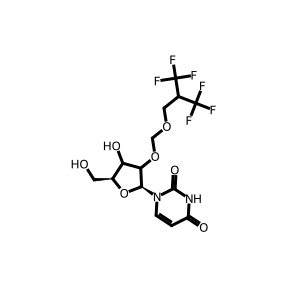 O=c1ccn([C@H]2O[C@@H](CO)C(O)C2OCOCC(C(F)(F)F)C(F)(F)F)c(=O)[nH]1